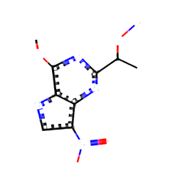 COc1nc(C(C)ON)nc2c([N+](=O)[O-])c[nH]c12